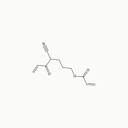 C=CC(=O)OCCCC(C#N)C(=O)C=C